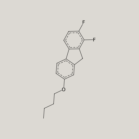 CCCCOc1ccc2c(c1)Cc1c-2ccc(F)c1F